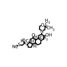 CC1(C)CN(C2C[C@@]3(C)C(CC[C@H]4[C@@H]5CC[C@H](C(=O)CSC#N)[C@@]5(C)CC(=O)[C@@H]43)CC2O)CCO1